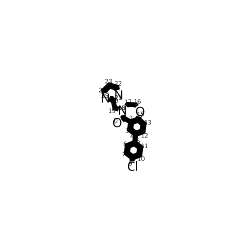 O=C1c2cc(-c3ccc(Cl)cc3)ccc2OCCN1Cc1ncccn1